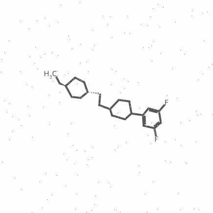 CC[C@H]1CC[C@H](CCC2CCC(c3cc(F)cc(F)c3)CC2)CC1